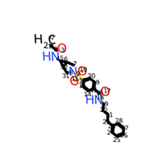 C=CC(=O)NC1C2CN(S(=O)(=O)c3ccc(C(=O)NCCCCc4ccccc4)cc3)CC21